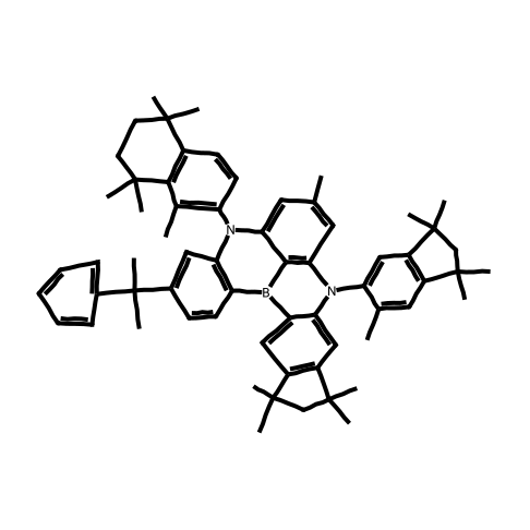 Cc1cc2c3c(c1)N(c1ccc4c(c1C)C(C)(C)CCC4(C)C)c1cc(C(C)(C)c4ccccc4)ccc1B3c1cc3c(cc1N2c1cc2c(cc1C)C(C)(C)CC2(C)C)C(C)(C)CC3(C)C